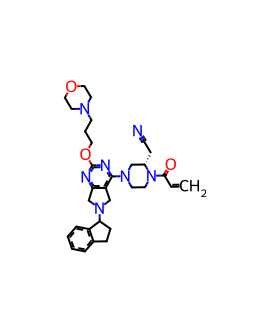 C=CC(=O)N1CCN(c2nc(OCCCN3CCOCC3)nc3c2CN(C2CCc4ccccc42)C3)C[C@@H]1CC#N